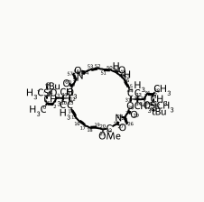 C/C=C/[C@H](O[Si](C)(C)C(C)(C)C)C(C)(C)[C@@H]1C\C=C/C=C\C=C\[C@H](OC)Cc2nc(co2)C(=O)O[C@H](C(C)(C)[C@H](/C=C/C)O[Si](C)(C)C(C)(C)C)C/C=C\[C@H]2O[C@H]2/C=C/C=C\c2nc(co2)C(=O)O1